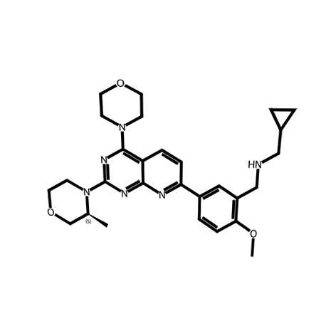 COc1ccc(-c2ccc3c(N4CCOCC4)nc(N4CCOC[C@@H]4C)nc3n2)cc1CNCC1CC1